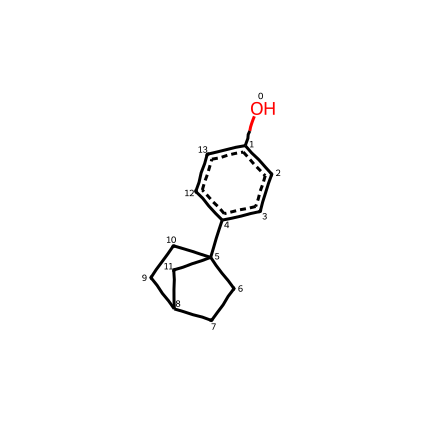 Oc1ccc(C23CCC(CC2)C3)cc1